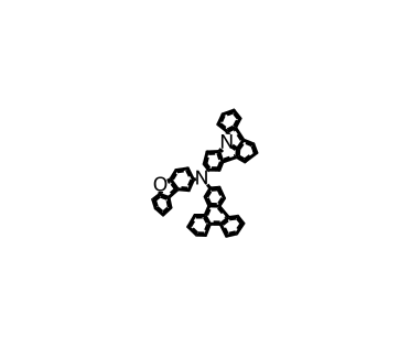 c1ccc2c(c1)oc1ccc(N(c3ccc4c5ccccc5c5ccccc5c4c3)c3ccc4c(c3)c3cccc5c6ccccc6n4c53)cc12